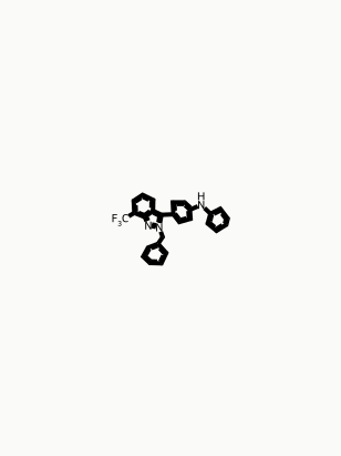 FC(F)(F)c1cccc2c(-c3ccc(Nc4ccccc4)cc3)n(Cc3ccccc3)nc12